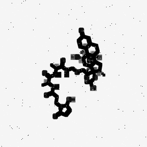 CCC(=O)O[C@]1(C(=O)COCNC(=O)[C@H](C)NC(=O)[C@H](C)NC(=O)CCN2C(=O)C=CC2O)[C@@H](C)CC2[C@@H]3CCC4=CC(=O)C=C[C@]4(C)[C@@]3(Cl)[C@@H](O)C[C@@]21C